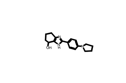 OC1CCCc2nc(-c3ccc(N4CCCC4)cc3)[nH]c21